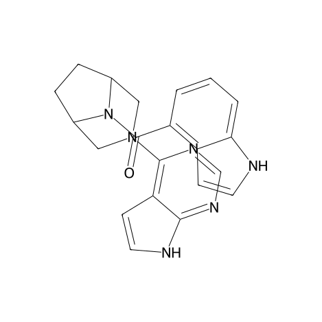 O=C(c1cccc2[nH]ccc12)N1C2CCC1CN(c1ncnc3[nH]ccc13)C2